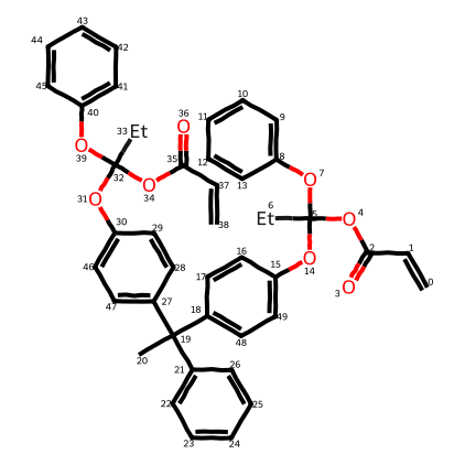 C=CC(=O)OC(CC)(Oc1ccccc1)Oc1ccc(C(C)(c2ccccc2)c2ccc(OC(CC)(OC(=O)C=C)Oc3ccccc3)cc2)cc1